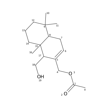 CC(=O)OCC1=CCC2C(C)(C)CCCC2(C)C1CO